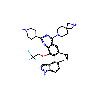 Cc1ccc2[nH]ncc2c1-c1c(C2CC2)cc2c(N3CCC4(CC3)CNC4)nc(C3CCN(C)CC3)nc2c1OCC(F)(F)F